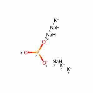 [K+].[K+].[K+].[NaH].[NaH].[NaH].[O-]P([O-])[O-]